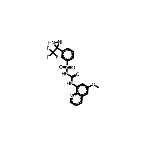 COc1cc(NC(=O)NS(=O)(=O)c2cccc(C3(C(F)(F)F)NN3)c2)c2ncccc2c1